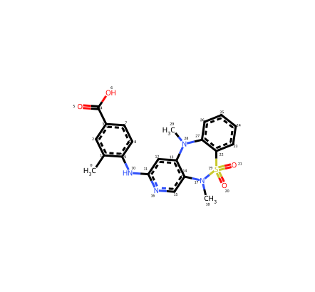 Cc1cc(C(=O)O)ccc1Nc1cc2c(cn1)N(C)S(=O)(=O)c1ccccc1N2C